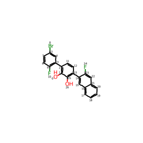 Oc1c(-c2cc(Br)ccc2F)ccc(-c2cc3ccccc3cc2F)c1O